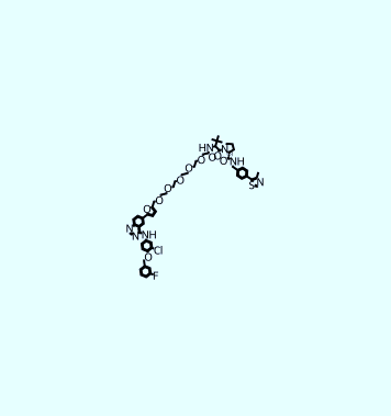 Cc1ncsc1-c1ccc(CNC(=O)[C@@H]2CCCN2C(=O)C(NC(=O)COCCOCCOCCOCCOCc2ccc(-c3ccc4ncnc(Nc5ccc(OCc6cccc(F)c6)c(Cl)c5)c4c3)o2)C(C)(C)C)cc1